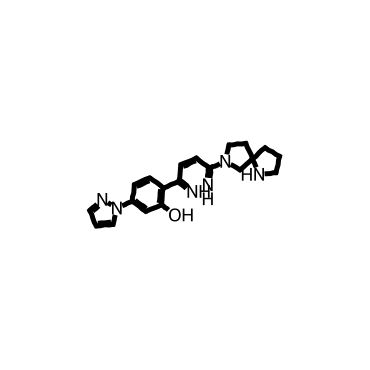 N=C(/C=C\C(=N)N1CCC2(CCCN2)C1)c1ccc(-n2cccn2)cc1O